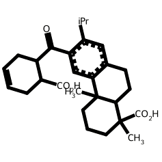 CC(C)c1cc2c(cc1C(=O)C1CC=CCC1C(=O)O)C1(C)CCCC(C)(C(=O)O)C1CC2